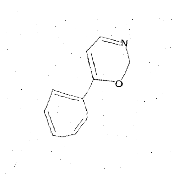 C1=NCOC(c2ccccc2)=C1